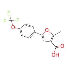 Cc1oc(-c2ccc(OC(F)(F)F)cc2)cc1C(=O)O